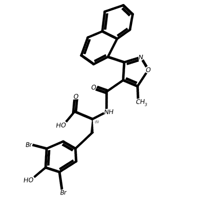 Cc1onc(-c2cccc3ccccc23)c1C(=O)N[C@@H](Cc1cc(Br)c(O)c(Br)c1)C(=O)O